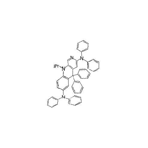 CC(C)N1c2ccc(N(c3ccccc3)c3ccccc3)cc2C(c2ccccc2)(c2ccccc2)c2cc(N(c3ccccc3)c3ccccc3)ncc21